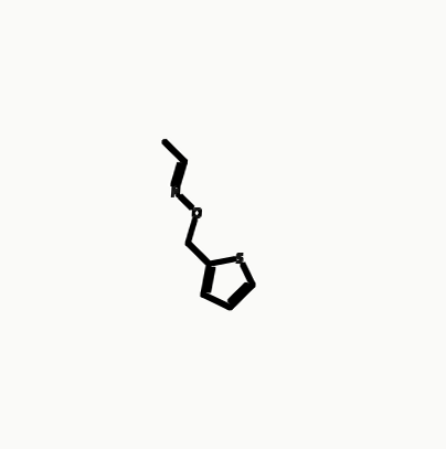 C/C=N/OCc1cccs1